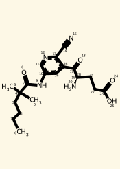 CCCCC(C)(C)C(=O)Nc1cnc(C#N)c(C(=O)[C@@H](N)CCC(=O)O)c1